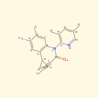 CC#CC(=O)N(c1cc(C)c(I)cc1C1CC1)c1ncc(C)cc1C